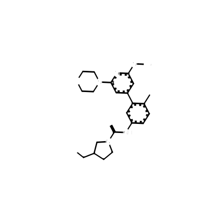 Cc1ccc(NC(=O)N2CCC(CC(F)(F)F)C2)cc1-c1cc(NC(C)(C)C)nc(N2CCOCC2)c1